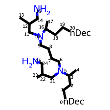 CCCCCCCCCCCCC(C)N(CCCCN(CC(C)CN)C(C)CCCCCCCCCCCC)CC(C)CN